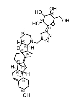 CC1=C2C[C@H]3[C@@H](CC=C4C[C@@H](O)CC[C@@]43C)[C@@H]2CC[C@]12O[C@@H]1C[C@H](C)CN(Cc3cn([C@@H]4OC(CO)[C@H](O)C(O)[C@@H]4O)nn3)[C@H]1[C@H]2C